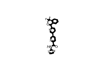 O=C(Nc1nccs1)c1ccc(-c2ccc(C(=O)c3ccccc3C(F)(F)F)nc2)cn1